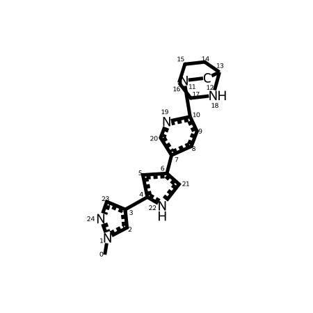 Cn1cc(-c2cc(-c3ccc(N4CC5CCC4CN5)nc3)c[nH]2)cn1